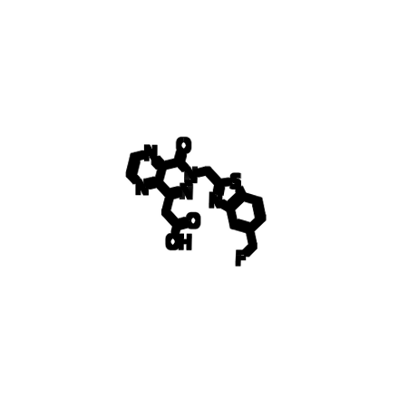 O=C(O)Cc1nn(Cc2nc3cc(CF)ccc3s2)c(=O)c2nccnc12